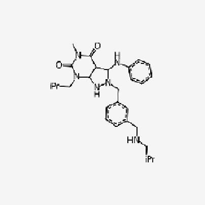 CC(C)CNCc1cccc(CN2NC3C(C(=O)N(C)C(=O)N3CC(C)C)C2Nc2ccccc2)c1